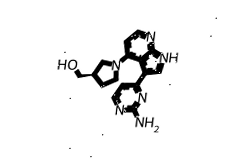 Nc1nccc(-c2c[nH]c3nccc(N4CC[C@@H](CO)C4)c23)n1